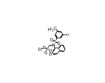 CCOP(=O)(CN(c1cccc2ccccc12)S(=O)(=O)c1cc(C)cc(Cl)c1)OCC